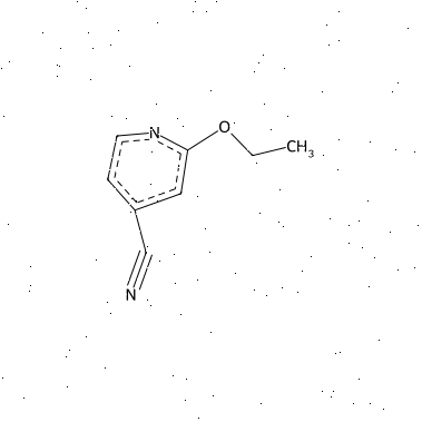 CCOc1cc(C#N)ccn1